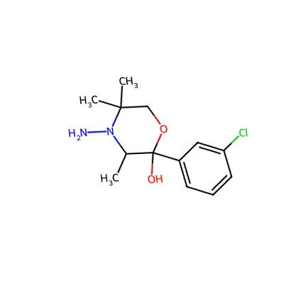 CC1N(N)C(C)(C)COC1(O)c1cccc(Cl)c1